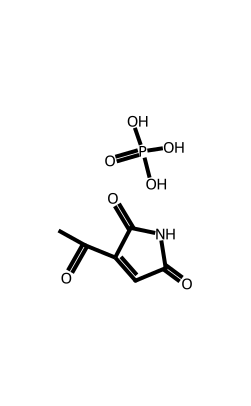 CC(=O)C1=CC(=O)NC1=O.O=P(O)(O)O